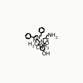 CC(C)(C)[C@H](c1nc(-c2ccccc2)cn1Cc1ccccc1)N(C[C@@H](F)CN)C(=O)N1CC[C@H](O)C1